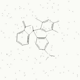 Cc1cc(C2(c3ccc(N(C)C)cc3O)OC(=O)c3ccccc32)c(O)cc1Cl